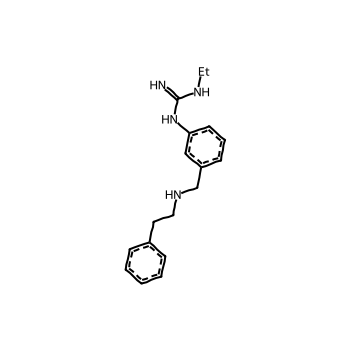 CCNC(=N)Nc1cccc(CNCCc2ccccc2)c1